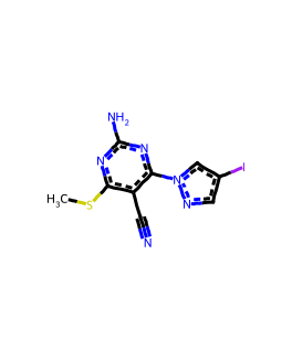 CSc1nc(N)nc(-n2cc(I)cn2)c1C#N